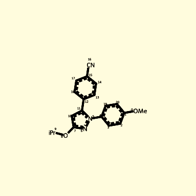 COc1ccc(-n2nc(OC(C)C)cc2-c2ccc(C#N)cc2)cc1